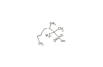 CCCCC(C)C(C)(C)S(=O)(=O)O